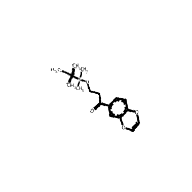 CC(C)(C)[Si](C)(C)OCCC(=O)c1ccc2c(c1)OC=CO2